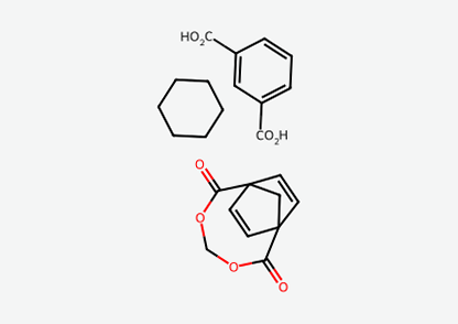 C1CCCCC1.O=C(O)c1cccc(C(=O)O)c1.O=C1OCOC(=O)C23C=CC1(C=C2)C3